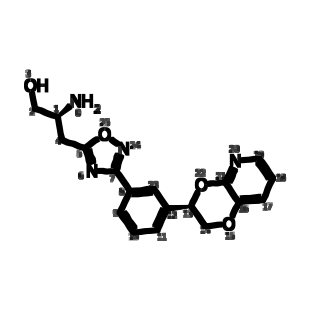 N[C@H](CO)Cc1nc(-c2cccc([C@@H]3COc4cccnc4O3)c2)no1